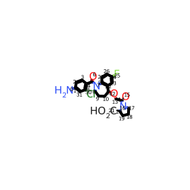 Nc1ccc(C(=O)N2CCCC(OCC(=O)N3CCC[C@H]3C(=O)O)c3cc(F)ccc32)c(Cl)c1